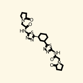 O=C(CN1CCCC1=O)Nc1nnc(C2CCC[C@H](c3nnc(NC(=O)CN4CCCC4=O)s3)C2)s1